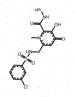 CCCNC(=O)c1c(O)c(=O)cc(CNS(=O)(=O)c2cccc(Cl)c2)n1C